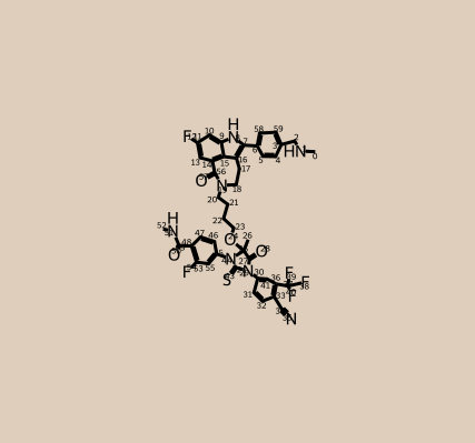 CNCc1ccc(-c2[nH]c3cc(F)cc4c3c2CCN(CCCCOC2(C)C(=O)N(c3ccc(C#N)c(C(F)(F)F)c3)C(=S)N2c2ccc(C(=O)NC)c(F)c2)C4=O)cc1